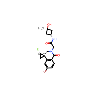 C[C@]1(O)C[C@H](NC(=O)CN2C[C@@]3(C[C@@H]3F)c3cc(Br)ccc3C2=O)C1